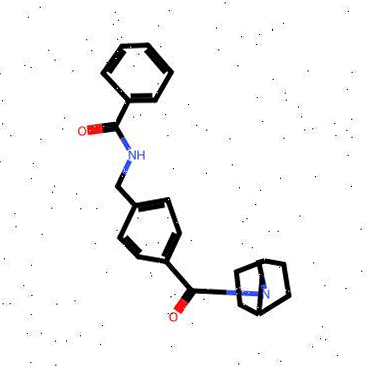 O=C(NCc1ccc(C(=O)N2CC3CCC(CC3)C2)cc1)c1ccccc1